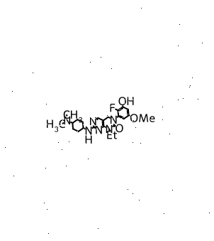 CCN1C(=O)N(c2cc(OC)cc(O)c2F)Cc2cnc(NC3CCC(N(C)C)CC3)nc21